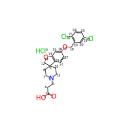 Cl.O=C(O)CCN1CCC2(CC1)COc1cc(OCc3cc(Cl)ccc3Cl)ccc12